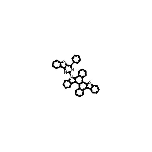 c1ccc(-c2nc(-n3c4ccccc4c4c5c6ccccc6c6c7ccccc7sc6c5c5ccccc5c43)nc3c2sc2ccccc23)cc1